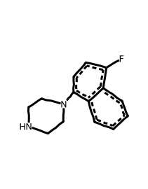 Fc1ccc(N2CCNCC2)c2ccccc12